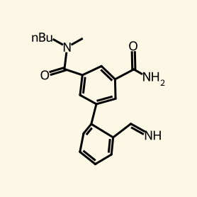 CCCCN(C)C(=O)c1cc(C(N)=O)cc(-c2ccccc2C=N)c1